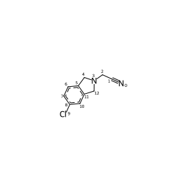 N#CCN1Cc2ccc(Cl)cc2C1